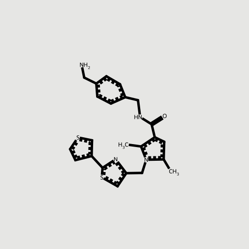 Cc1cc(C(=O)NCc2ccc(CN)cc2)c(C)n1Cc1csc(-c2ccsc2)n1